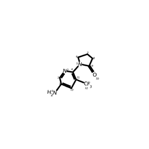 Nc1cnc(N2CCCC2=O)c(C(F)(F)F)c1